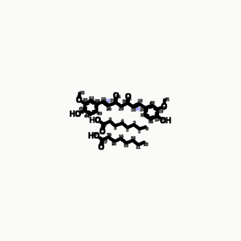 CCCCCCCC(=O)O.CCCCCCCC(=O)O.COc1cc(/C=C/C(=O)CC(=O)/C=C/c2ccc(O)c(OC)c2)ccc1O